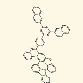 c1ccc2cc(-c3nc(-c4ccc(-c5nc6ccccc6c6c(-c7cccc8c7oc7ccccc78)c7c(cc56)oc5ccccc57)cc4)nc(-c4ccc5ccccc5c4)n3)ccc2c1